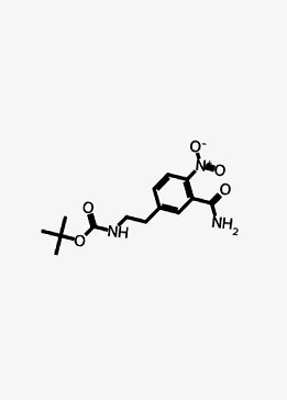 CC(C)(C)OC(=O)NCCc1ccc([N+](=O)[O-])c(C(N)=O)c1